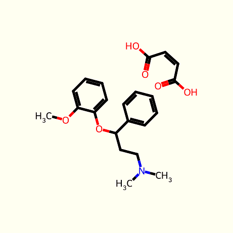 COc1ccccc1OC(CCN(C)C)c1ccccc1.O=C(O)/C=C\C(=O)O